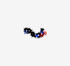 O=C1COC2(CCN(Cc3ccc(-c4ccc5cccnc5c4)cc3)CC2)CN1C1CC1